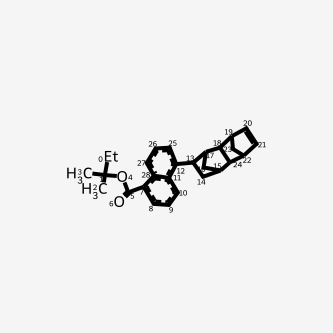 CCC(C)(C)OC(=O)c1cccc2c(C3CC4CC3C3C5C=CC(C5)C43)cccc12